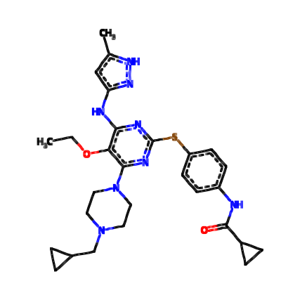 CCOc1c(Nc2cc(C)[nH]n2)nc(Sc2ccc(NC(=O)C3CC3)cc2)nc1N1CCN(CC2CC2)CC1